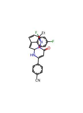 CCC1=N/N2C(=O)C=C(c3ccc(C#N)cc3)NC2/C=C(c2ccc(F)cc2F)/C=C\1